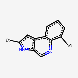 CCc1cc2c(cnc3c(C(C)C)cccc32)[nH]1